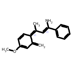 C=c1cc(OC)cc/c1=C(C)/C=C(\N)c1ccccc1